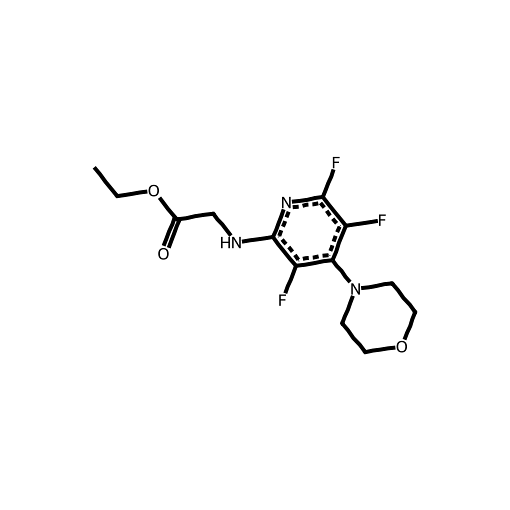 CCOC(=O)CNc1nc(F)c(F)c(N2CCOCC2)c1F